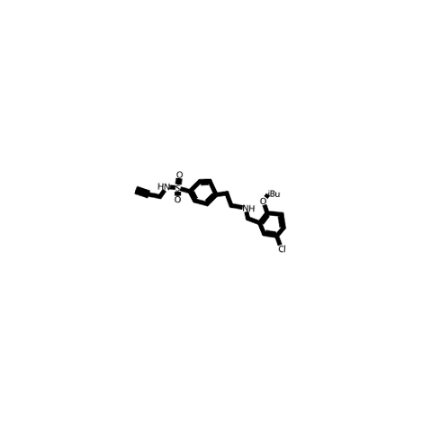 C#CCNS(=O)(=O)c1ccc(CCNCc2cc(Cl)ccc2OC(C)CC)cc1